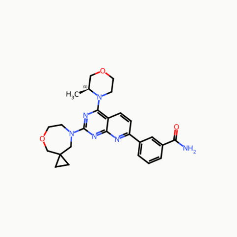 C[C@H]1COCCN1c1nc(N2CCOCC3(CC3)C2)nc2nc(-c3cccc(C(N)=O)c3)ccc12